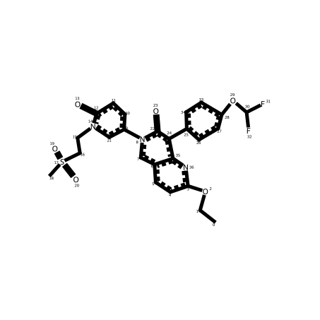 CCOc1ccc2cn(-c3ccc(=O)n(CCS(C)(=O)=O)c3)c(=O)c(-c3ccc(OC(F)F)cc3)c2n1